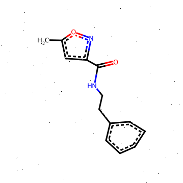 Cc1cc(C(=O)NCCc2ccccc2)no1